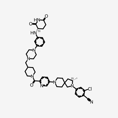 C[C@H]1CC2(CCN(c3ccc(C(=O)N4CCC(CN5CCN(c6cccc(N[C@H]7CCC(=O)NC7=O)c6)CC5)CC4)nc3)CC2)CN1c1ccc(C#N)c(Cl)c1